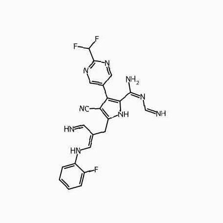 N#Cc1c(C/C(C=N)=C/Nc2ccccc2F)[nH]c(/C(N)=N\C=N)c1-c1cnc(C(F)F)nc1